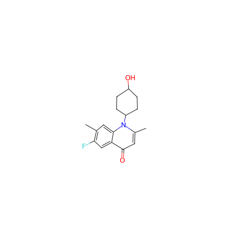 Cc1cc2c(cc1F)c(=O)cc(C)n2C1CCC(O)CC1